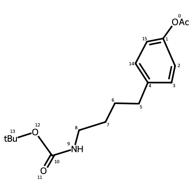 CC(=O)Oc1ccc(CCCCNC(=O)OC(C)(C)C)cc1